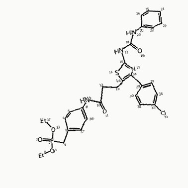 CCOP(=O)(Cc1ccc(NC(=O)CCc2sc(NC(=O)Nc3ccccc3)nc2-c2ccc(Cl)cc2)cc1)OCC